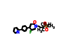 C[C@@](CCn1cc(F)c(-c2ccc(-c3ccccn3)cc2)cc1=O)(C(=O)O)S(C)(=O)=O